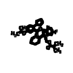 CC(C)Oc1ccc(C2CCCC2)c(C(=O)N2CCCCC2c2nc3ncc(F)cc3n2COC(=O)C(C)C)c1